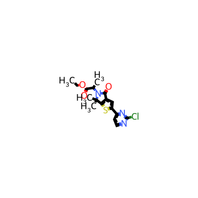 CCOC(=O)C(C)N1C(=O)c2cc(-c3ccnc(Cl)n3)sc2C1(C)C